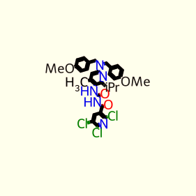 COc1ccc(CN(Cc2ccc(OC)cc2)c2cc(C)c(NC(=O)NC(=O)c3cc(Cl)c(Cl)nc3Cl)c(C(C)C)n2)cc1